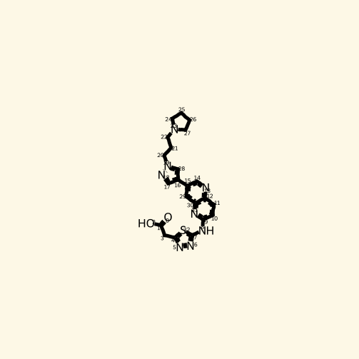 O=C(O)Cc1nnc(Nc2ccc3ncc(-c4cnn(CCCN5CCCC5)c4)cc3n2)s1